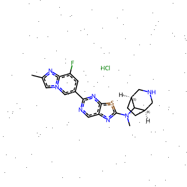 Cc1cn2cc(-c3ncc4nc(N(C)C5[C@@H]6CC[C@H]5CNC6)sc4n3)cc(F)c2n1.Cl